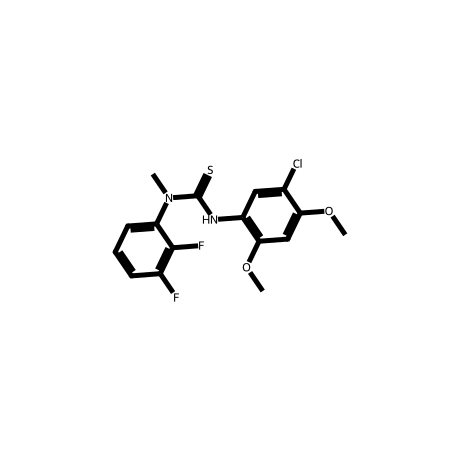 COc1cc(OC)c(NC(=S)N(C)c2cccc(F)c2F)cc1Cl